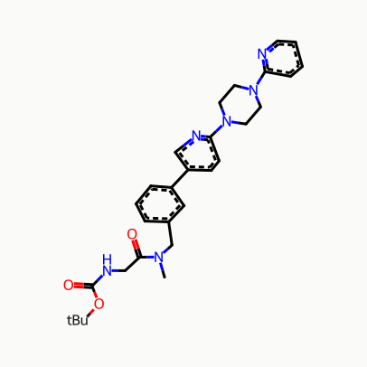 CN(Cc1cccc(-c2ccc(N3CCN(c4ccccn4)CC3)nc2)c1)C(=O)CNC(=O)OC(C)(C)C